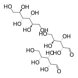 O=C[C@H](O)[C@@H](O)[C@@H](O)CO.O=C[C@H](O)[C@@H](O)[C@H](O)CO.OC[C@@H](O)[C@@H](O)[C@H](O)[C@H](O)CO